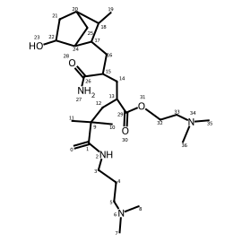 C=C(NCCCN(C)C)C(C)(C)CC(CC(CC1C(C)C2CC(O)C1C2)C(N)=O)C(=O)OCCN(C)C